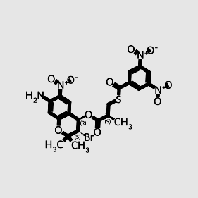 C[C@H](CSC(=O)c1cc([N+](=O)[O-])cc([N+](=O)[O-])c1)C(=O)O[C@@H]1c2cc([N+](=O)[O-])c(N)cc2OC(C)(C)[C@H]1Br